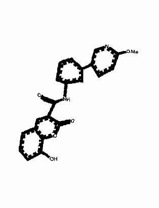 COc1ccc(-c2cccc(NC(=O)c3cc4cccc(O)c4oc3=O)c2)cn1